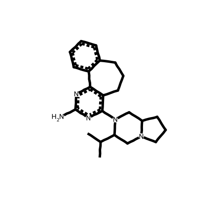 CC(C)C1CN2CCCC2CN1c1nc(N)nc2c1CCCc1ccccc1-2